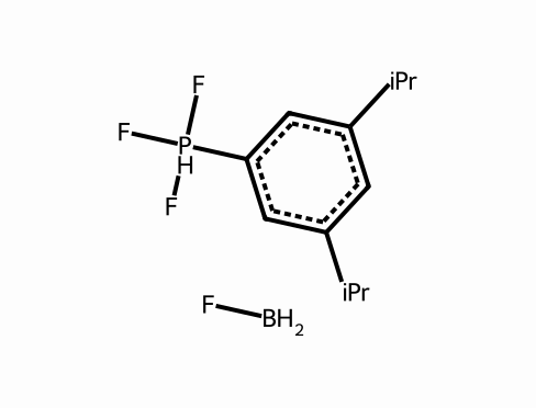 BF.CC(C)c1cc(C(C)C)cc([PH](F)(F)F)c1